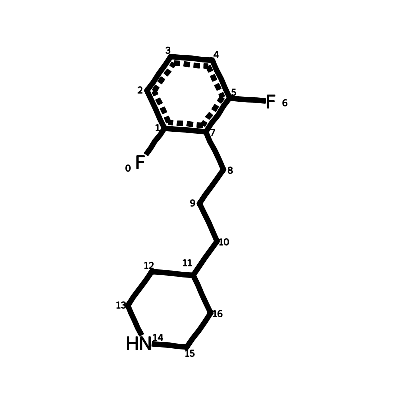 Fc1cccc(F)c1CCCC1CCNCC1